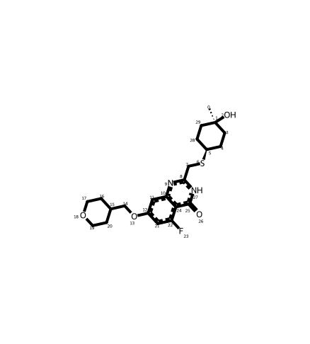 C[C@]1(O)CC[C@@H](SCc2nc3cc(OCC4CCOCC4)cc(F)c3c(=O)[nH]2)CC1